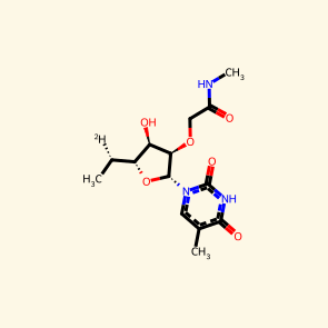 [2H][C@@H](C)[C@H]1O[C@@H](n2cc(C)c(=O)[nH]c2=O)[C@H](OCC(=O)NC)[C@@H]1O